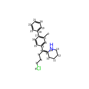 Cc1cc(C(CCCCl)=C2CCCCN2)ccc1-c1ccccc1